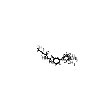 CCCCC(=O)Nc1nc2ccc(B3OC(C)(C)C(C)(C)O3)cc2s1